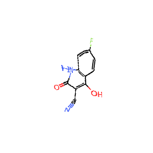 N#Cc1c(O)c2ccc(F)cc2[nH]c1=O